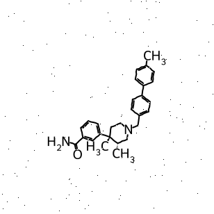 Cc1ccc(-c2ccc(CN3CC[C@@](C)(c4cccc(C(N)=O)c4)[C@@H](C)C3)cc2)cc1